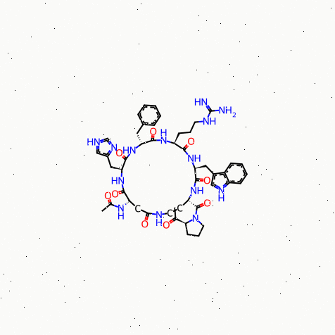 CC(=O)N[C@H]1CC(=O)NCC[C@@H](C(=O)N2CCC[C@H]2C(C)=O)NC(=O)[C@H](Cc2c[nH]c3ccccc23)NC(=O)[C@H](CCCNC(=N)N)NC(=O)[C@@H](Cc2ccccc2)NC(=O)[C@H](Cc2c[nH]cn2)NC1=O